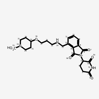 O=C1CCC(N2C(=O)c3cccc(CNCCCOC4CCN(C(=O)O)CC4)c3C2=O)C(=O)N1